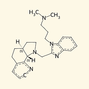 CN(C)CCCn1c(CN2CC[C@@H]3CCc4cccnc4[C@H]32)nc2ccccc21